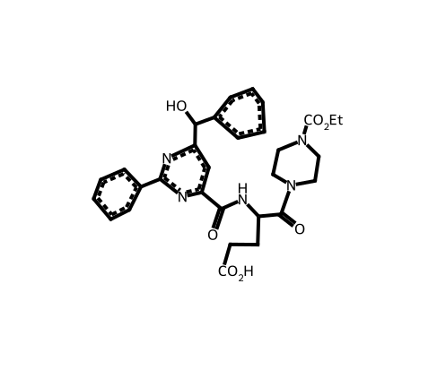 CCOC(=O)N1CCN(C(=O)C(CCC(=O)O)NC(=O)c2cc(C(O)c3ccccc3)nc(-c3ccccc3)n2)CC1